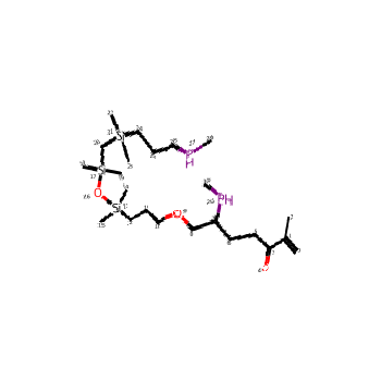 C=C(C)C(=O)CCC(COCCC[Si](C)(C)O[Si](C)(C)C[Si](C)(C)CCCPC)PC